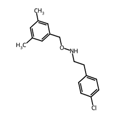 Cc1cc(C)cc(CONCCc2ccc(Cl)cc2)c1